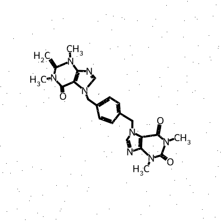 C=C1N(C)C(=O)c2c(ncn2Cc2ccc(Cn3cnc4c3c(=O)n(C)c(=O)n4C)cc2)N1C